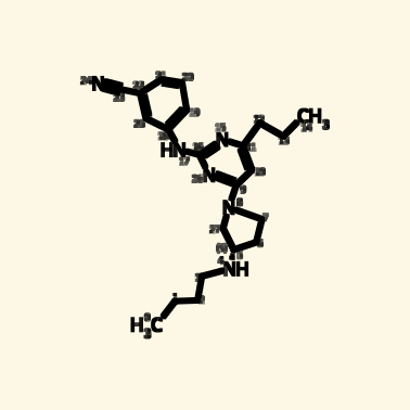 CCCCN[C@H]1CCN(c2cc(CCC)nc(Nc3cccc(C#N)c3)n2)C1